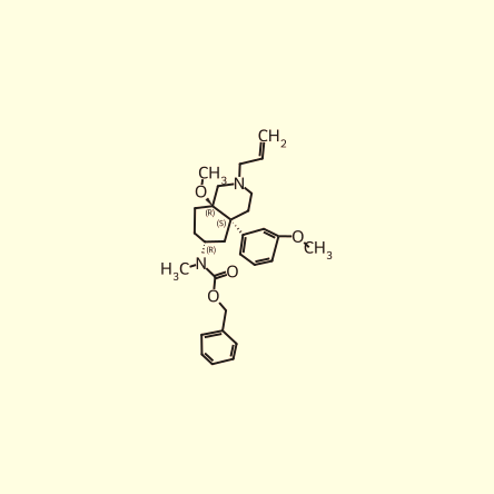 C=CCN1CC[C@@]2(c3cccc(OC)c3)C[C@H](N(C)C(=O)OCc3ccccc3)CC[C@]2(OC)C1